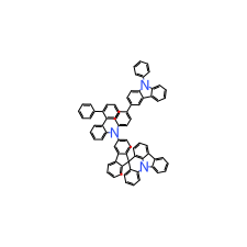 c1ccc(-c2ccccc2-c2ccccc2N(c2ccc(-c3ccc4c(c3)c3ccccc3n4-c3ccccc3)cc2)c2ccc3c(c2)-c2ccccc2C32c3ccccc3-n3c4ccccc4c4cccc2c43)cc1